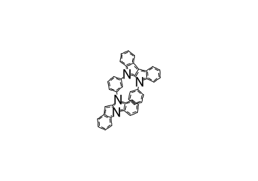 c1ccc(-n2c3ccccc3c3c4ccccc4n(-c4cccc(-n5c6ccccc6n6c7ccccc7cc56)c4)c32)cc1